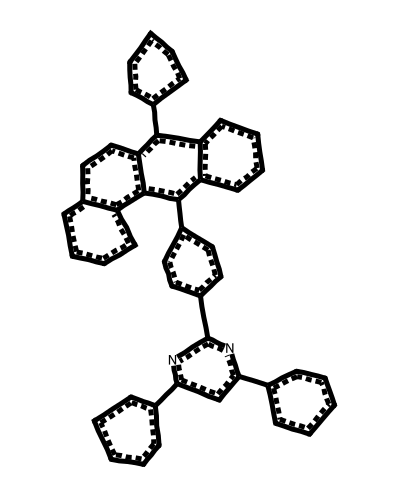 c1ccc(-c2cc(-c3ccccc3)nc(-c3ccc(-c4c5ccccc5c(-c5ccccc5)c5ccc6ccccc6c45)cc3)n2)cc1